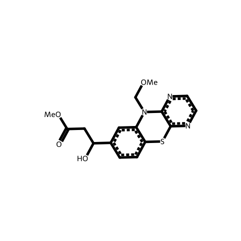 COCN1c2cc(C(O)CC(=O)OC)ccc2Sc2nccnc21